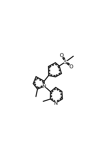 Cc1ncccc1-n1c(C)ccc1-c1ccc(S(C)(=O)=O)cc1